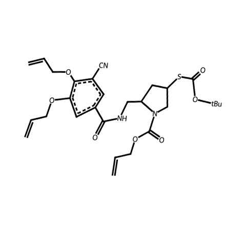 C=CCOC(=O)N1CC(SC(=O)OC(C)(C)C)CC1CNC(=O)c1cc(C#N)c(OCC=C)c(OCC=C)c1